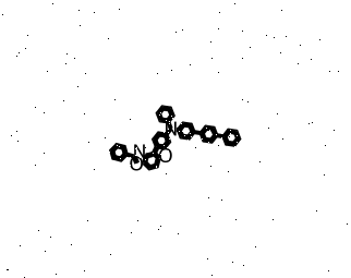 c1ccc(-c2ccc(-c3ccc(N(c4ccccc4)c4ccc5c(c4)oc4ccc6oc(-c7ccccc7)nc6c45)cc3)cc2)cc1